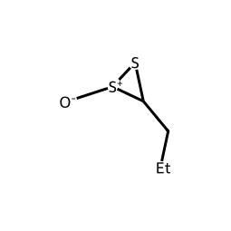 CCCC1S[S+]1[O-]